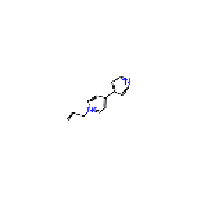 C=CC[n+]1ccc(-c2ccncc2)cc1